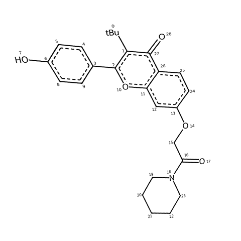 CC(C)(C)c1c(-c2ccc(O)cc2)oc2cc(OCC(=O)N3CCCCC3)ccc2c1=O